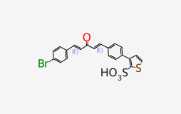 O=C(/C=C/c1ccc(Br)cc1)/C=C/c1ccc(-c2ccsc2S(=O)(=O)O)cc1